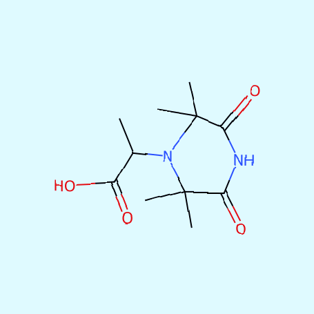 CC(C(=O)O)N1C(C)(C)C(=O)NC(=O)C1(C)C